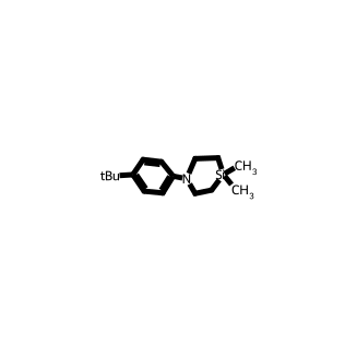 CC(C)(C)c1ccc(N2CC[Si](C)(C)CC2)cc1